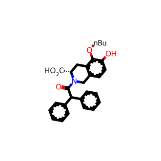 CCCCOc1c(O)ccc2c1C[C@@H](C(=O)O)N(C(=O)C(c1ccccc1)c1ccccc1)C2